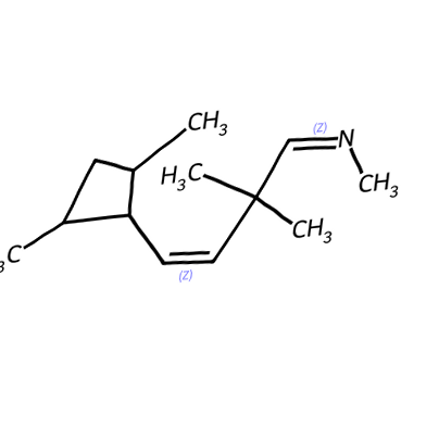 C/N=C\C(C)(C)/C=C\C1C(C)CC1C